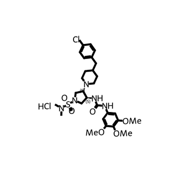 COc1cc(NC(=O)N[C@H]2CN(S(=O)(=O)N(C)C)C[C@@H]2N2CCC(Cc3ccc(Cl)cc3)CC2)cc(OC)c1OC.Cl